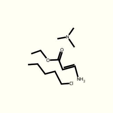 CCCCCCl.CCOC(=O)C=CN.CN(C)C